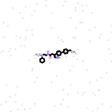 CCc1ccc(-c2ccc3c(CC(=O)NCCN(C)C4CCCCC4)c[nH]c3c2)cc1